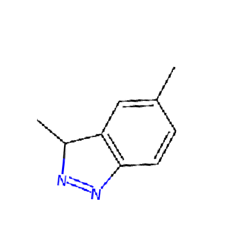 Cc1ccc2c(c1)C(C)N=N2